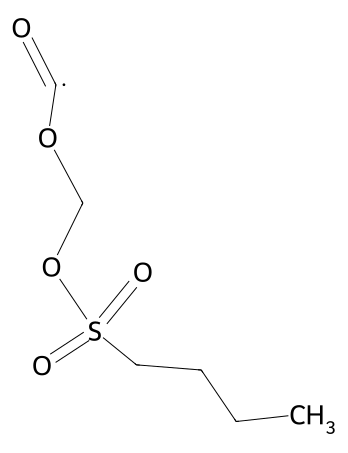 CCCCS(=O)(=O)OCO[C]=O